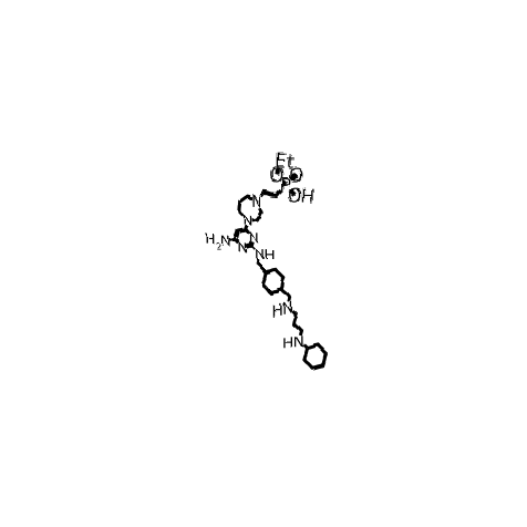 CCOP(=O)(O)CCN1CCCN(c2cc(N)nc(NCC3CCC(CNCCCNC4CCCCC4)CC3)n2)CC1